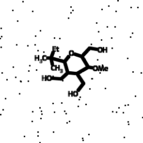 CCC(C)(C)C1OC(CO)C(OC)C(CO)C1CO